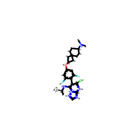 C[C@H](Nc1c(-c2c(F)cc(OC3CC4(CCC(N(C)C)CC4)C3)cc2F)c(Cl)nc2ncnn12)C(F)(F)F